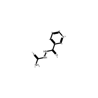 NC(=S)NNC(=O)c1cccnc1